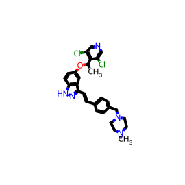 CC(Oc1ccc2[nH]nc(/C=C/c3ccc(CN4CCN(C)CC4)cc3)c2c1)c1c(Cl)cncc1Cl